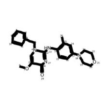 COc1cn(Cc2ccccc2)c(Nc2ccc(N3CCOCC3)cc2C)nc1=O